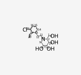 OCC1C(O)C(O)C(O)CN1CCc1cccc(Cl)c1F